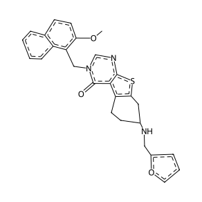 COc1ccc2ccccc2c1Cn1cnc2sc3c(c2c1=O)CCC(NCc1ccco1)C3